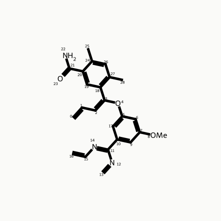 C=C/C=C(/Oc1cc(OC)cc(/C(N=C)=N/C=C)c1)c1cc(C(N)=O)c(C)cc1C